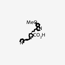 COc1ccc2nccc(CCC[C@@H]3CCN(CC#Cc4cccnc4)C[C@@H]3C(=O)O)c2c1